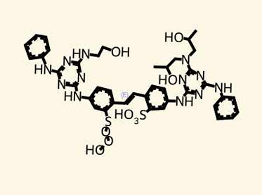 CC(O)CN(CC(C)O)c1nc(Nc2ccccc2)nc(Nc2ccc(/C=C/c3ccc(Nc4nc(NCCO)nc(Nc5ccccc5)n4)cc3SOOO)c(S(=O)(=O)O)c2)n1